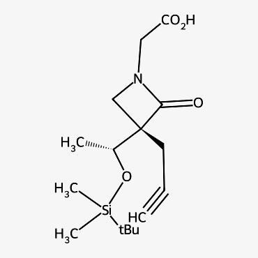 C#CC[C@@]1([C@@H](C)O[Si](C)(C)C(C)(C)C)CN(CC(=O)O)C1=O